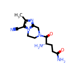 Cc1nc2n(c1C#N)CCN(C(=O)[C@@H](N)CCC(N)=O)C2